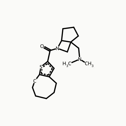 CN(C)CC12CCCC1N(C(=O)c1cc3c(s1)CCCCCC3)C2